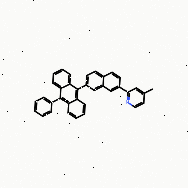 Cc1ccnc(-c2ccc3ccc(-c4c5ccccc5c(-c5ccccc5)c5ccccc45)cc3c2)c1